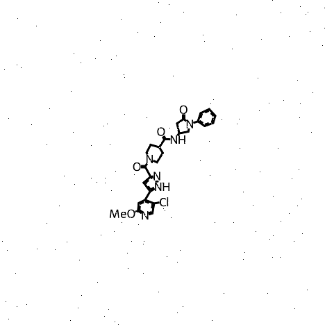 COc1cc(-c2cc(C(=O)N3CCC(C(=O)NC4CC(=O)N(c5ccccc5)C4)CC3)n[nH]2)c(Cl)cn1